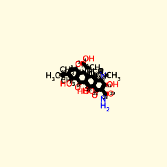 CC(C(=O)O)[C@H]1c2ccc(C(C)(C)C)c(O)c2C(=O)C2=C(O)[C@]3(O)C(=O)C(C(N)=O)=C(O)[C@@H](N(C)C)[C@@H]3[C@@H](C)[C@@H]21